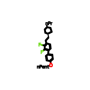 CCCCCOc1ccc(-c2ccc(CC[C@H]3CC[C@H](CCC)CC3)c(F)c2F)cc1